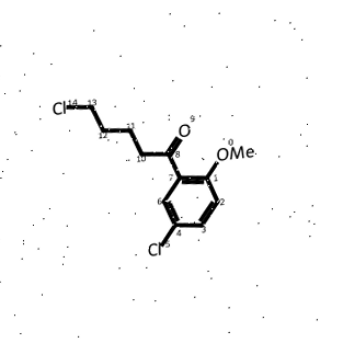 COc1ccc(Cl)cc1C(=O)CCCCCl